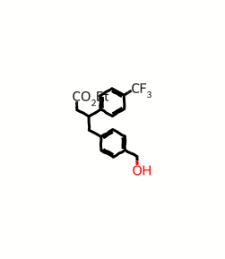 CCOC(=O)CC(Cc1ccc(CO)cc1)c1ccc(C(F)(F)F)cc1